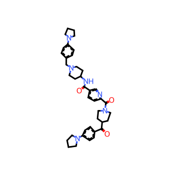 O=C(NC1CCN(Cc2ccc(N3CCCC3)cc2)CC1)c1ccc(C(=O)N2CCC(C(=O)c3ccc(N4CCCC4)cc3)CC2)nc1